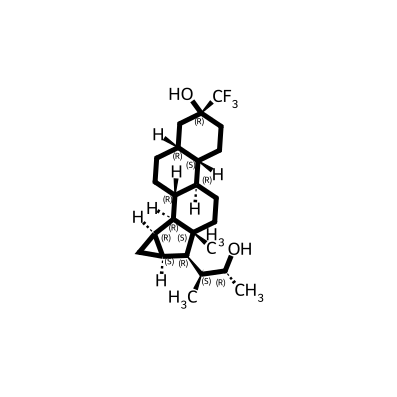 C[C@@H]([C@H]1[C@H]2C[C@H]2[C@H]2[C@@H]3CC[C@@H]4C[C@@](O)(C(F)(F)F)CC[C@@H]4[C@H]3CC[C@@]21C)[C@@H](C)O